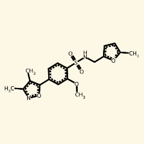 COc1cc(-c2onc(C)c2C)ccc1S(=O)(=O)NCc1ccc(C)o1